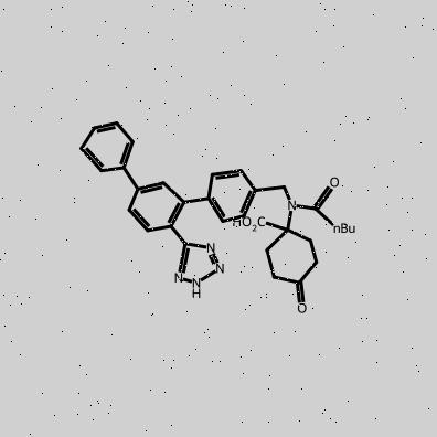 CCCCC(=O)N(Cc1ccc(-c2cc(-c3ccccc3)ccc2-c2nn[nH]n2)cc1)C1(C(=O)O)CCC(=O)CC1